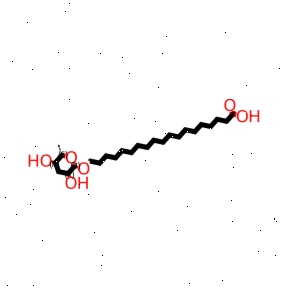 C[C@@H]1O[C@@H](OCCCCCCCCCCCCCCCCCCC(=O)O)[C@H](O)C[C@H]1O